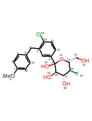 COc1ccc(Cc2cc([C@]3(O)O[C@H](CO)[C@@H](F)[C@H](O)[C@H]3O)ccc2Cl)cc1